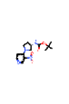 CC(C)(C)OC(=O)N[C@H]1CCN(c2ccncc2[N+](=O)[O-])C1